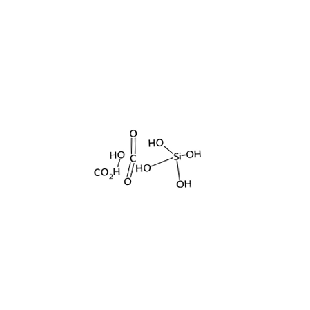 O=C(O)O.O=C=O.O[Si](O)(O)O